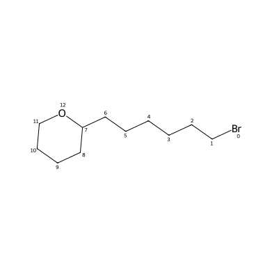 BrCCCCCCC1CCCCO1